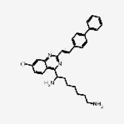 NCCCCCCC(N)c1nc(/C=C/c2ccc(-c3ccccc3)cc2)nc2cc(Cl)ccc12